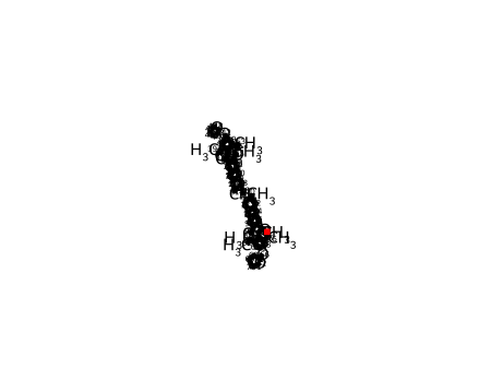 CC1=Cc2cc3cc4c(cc3cc2C[C@@H]1CCC1=Cc2cc3cc5c(cc3cc2CC1C)C(=O)N(c1c(C(C)C)cc(OC2CCCCO2)cc1C(C)C)C5=O)C(=O)N(c1c(C(C)C)cc(OC2CCCCO2)cc1C(C)C)C4=O